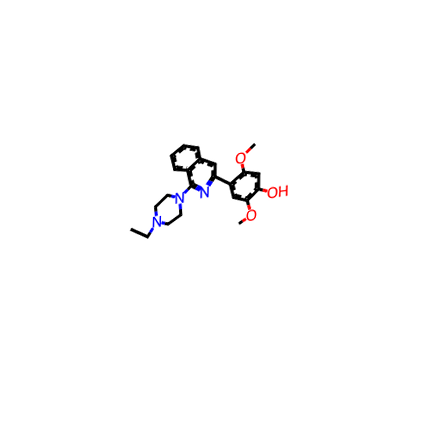 CCN1CCN(c2nc(-c3cc(OC)c(O)cc3OC)cc3ccccc23)CC1